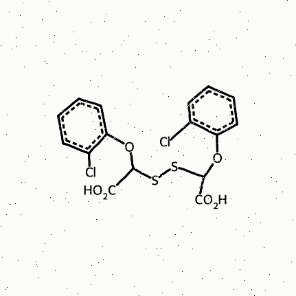 O=C(O)C(Oc1ccccc1Cl)SSC(Oc1ccccc1Cl)C(=O)O